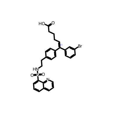 O=C(O)CCC/C=C(\c1ccc(CCNS(=O)(=O)c2cccc3cccnc23)cc1)c1cccc(Br)c1